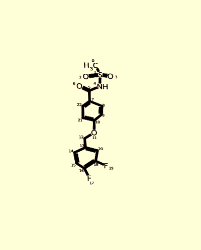 CS(=O)(=O)NC(=O)c1ccc(OCc2ccc(F)c(F)c2)cc1